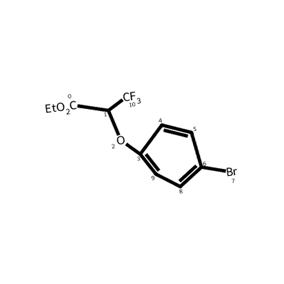 CCOC(=O)C(Oc1ccc(Br)cc1)C(F)(F)F